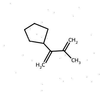 C=C(C)C(=C)C1CCCC1